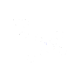 c1ccc(-c2cccc(N(c3ccc(-c4cc5ccc6ccccc6c5c5ccccc45)cc3)c3cc4ccccc4c4c3sc3ccccc34)c2)cc1